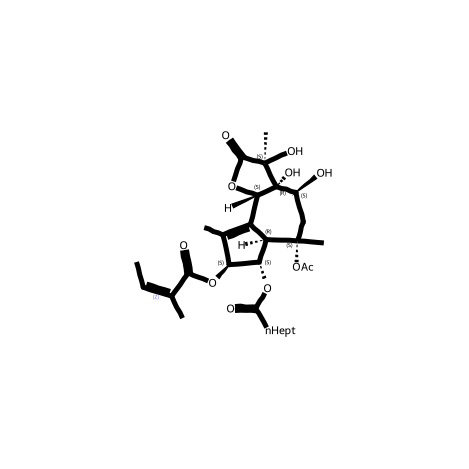 C/C=C(/C)C(=O)O[C@H]1C(C)=C2[C@H]([C@@H]1OC(=O)CCCCCCC)[C@@](C)(OC(C)=O)C[C@H](O)[C@@]1(O)[C@H]2OC(=O)[C@@]1(C)O